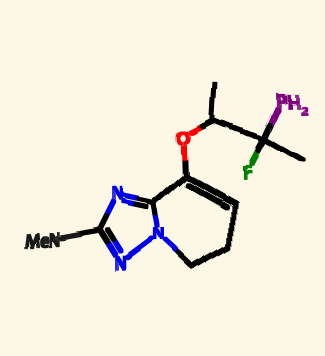 CNc1nc2n(n1)CCC=C2OC(C)C(C)(F)P